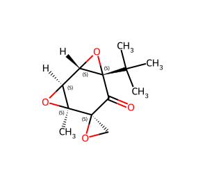 CC(C)(C)[C@]12O[C@H]1[C@@H]1O[C@]1(C)[C@@]1(CO1)C2=O